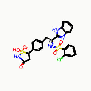 O=C1CC(c2ccc(C[C@H](NS(=O)(=O)c3ccccc3Cl)c3nc4ccccc4[nH]3)cc2)S(O)(O)N1